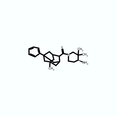 CC12CC3CC(c4ccccc4)(CC(C1)C3C(=S)N1CC[C@H](N)C(C)(C)C1)C2